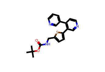 CC(C)(C)OC(=O)NCc1ccc(-c2cnccc2-c2cccnc2)s1